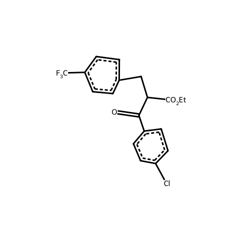 CCOC(=O)C(Cc1ccc(C(F)(F)F)cc1)C(=O)c1ccc(Cl)cc1